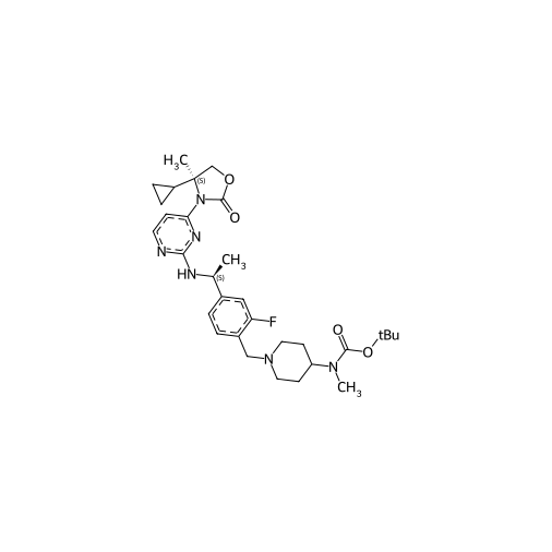 C[C@H](Nc1nccc(N2C(=O)OC[C@]2(C)C2CC2)n1)c1ccc(CN2CCC(N(C)C(=O)OC(C)(C)C)CC2)c(F)c1